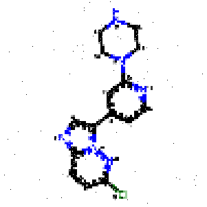 Clc1ccc2ncc(-c3ccnc(N4CCNCC4)c3)n2n1